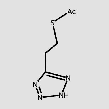 CC(=O)SCCc1nn[nH]n1